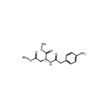 CC(C)(C)OC(=O)C[C@H](NC(=O)Cc1ccc(N)cc1)C(=O)OC(C)(C)C